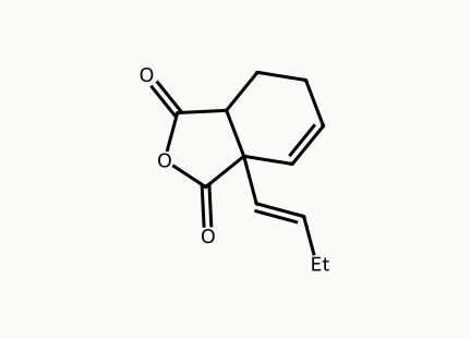 CCC=CC12C=CCCC1C(=O)OC2=O